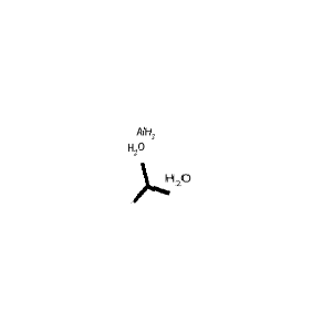 O.O.[AlH3].[CH2]C(C)C